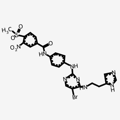 CS(=O)(=O)c1ccc(C(=O)Nc2ccc(Nc3ncc(Br)c(NCCc4cnc[nH]4)n3)cc2)cc1[N+](=O)[O-]